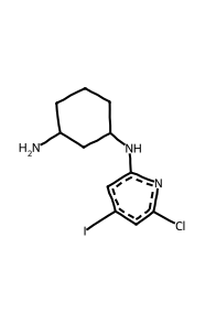 NC1CCCC(Nc2cc(I)cc(Cl)n2)C1